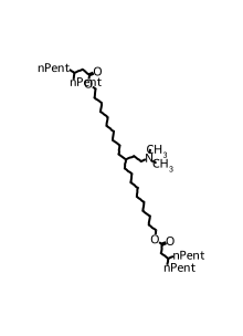 CCCCCC(CCCCC)CC(=O)OCCCCCCCCCCC(CCCCCCCCCCOC(=O)CC(CCCCC)CCCCC)CCN(C)C